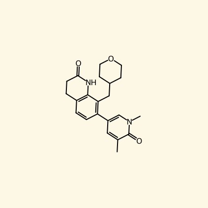 Cc1cc(-c2ccc3c(c2CC2CCOCC2)NC(=O)CC3)cn(C)c1=O